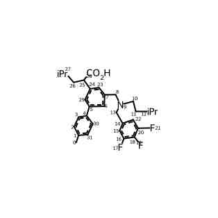 Cc1ccc(-c2cc(CN(CCC(C)C)Cc3cc(F)c(F)c(F)c3)cc(C(CC(C)C)C(=O)O)c2)cc1